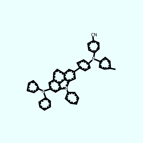 Cc1ccc(N(c2ccc(C#N)cc2)c2ccc(-c3cc4ccc5cc(N(c6ccccc6)c6ccccc6)cc6c5c4c(c3)n6-c3ccccc3)cc2)cc1